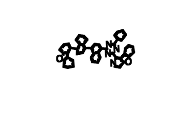 c1ccc(-c2nc(-c3ccc(-c4ccc(-c5cccc6oc7ccccc7c56)c5ccccc45)c4ccccc34)nc(-c3nccc4oc5ccccc5c34)n2)cc1